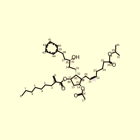 C=C(CCCCCCC)C(=O)O[C@@H]1C[C@H](OC(C)=O)[C@H](C/C=C\CCCC(=O)OC(C)C)[C@H]1CC[C@@H](O)CCc1ccccc1